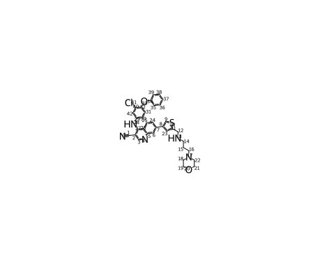 N#Cc1cnc2cc(-c3csc(CNCCCN4CCOCC4)c3)ccc2c1Nc1ccc(Oc2ccccc2)c(Cl)c1